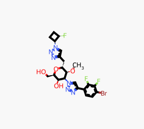 CO[C@@H]1[C@@H](n2cc(-c3ccc(Br)c(F)c3F)nn2)[C@@H](O)[C@@H](CO)O[C@@H]1Cc1cn([C@@H]2CC[C@@H]2F)nn1